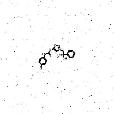 CC(O)(C[n+]1cc([N-]C(=O)Nc2ccc(Cl)cc2)on1)c1ccccc1